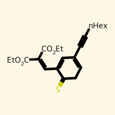 CCCCCCC#CC1=CCC(=S)C(C=C(C(=O)OCC)C(=O)OCC)=C1